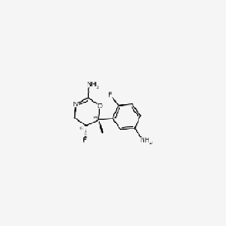 C[C@]1(c2cc(N)ccc2F)OC(N)=NC[C@H]1F